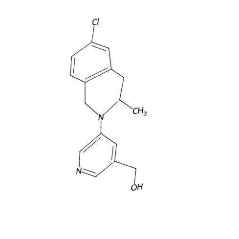 CC1Cc2cc(Cl)ccc2CN1c1cncc(CO)c1